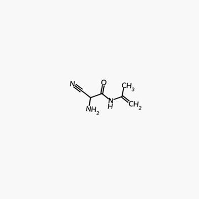 C=C(C)NC(=O)C(N)C#N